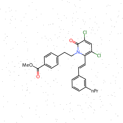 CCCc1cccc(C=Cc2c(Cl)cc(Cl)c(=O)n2CCc2ccc(C(=O)OC)cc2)c1